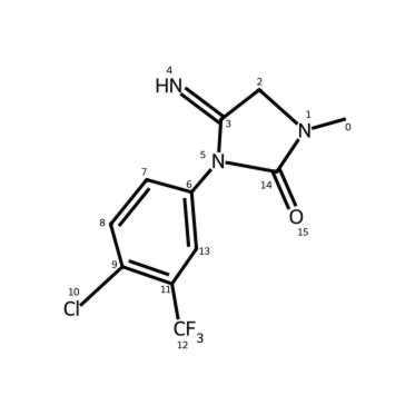 CN1CC(=N)N(c2ccc(Cl)c(C(F)(F)F)c2)C1=O